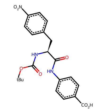 CC(C)(C)OC(=O)N[C@@H](Cc1ccc([N+](=O)[O-])cc1)C(=O)Nc1ccc(C(=O)O)cc1